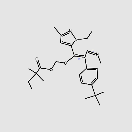 CCn1nc(C)cc1/C(OCOC(=O)C(C)(C)CC)=C(\C=N/C)c1ccc(C(C)(C)C)cc1